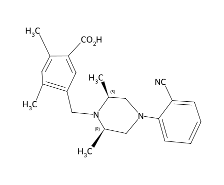 Cc1cc(C)c(C(=O)O)cc1CN1[C@H](C)CN(c2ccccc2C#N)C[C@@H]1C